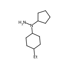 CCC1CCC(N(N)C2CCCC2)CC1